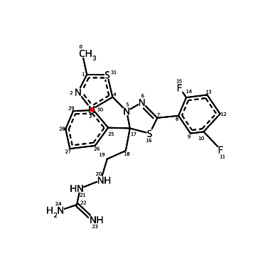 Cc1nnc(N2N=C(c3cc(F)ccc3F)SC2(CCNNC(=N)N)c2ccccc2)s1